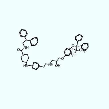 CC(C)(C)[Si](Oc1ccc(OCC(O)CNCCc2ccc(NC3CCN(C(=O)NCC(c4ccccc4)c4ccccc4)CC3)cc2)cc1)(c1ccccc1)c1ccccc1